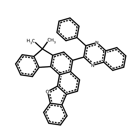 CC1(C)c2ccccc2-c2c1cc(-c1nc3ccccc3nc1-c1ccccc1)c1ccc3c4ccccc4oc3c21